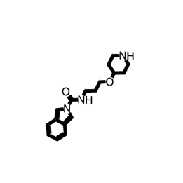 O=C(NCCCOC1CCNCC1)n1cc2ccccc2c1